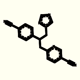 N#Cc1ccc(C(Cc2ccc(C#N)cn2)Cn2cncn2)cc1